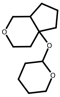 C1CCC(OC23CCCC2COCC3)OC1